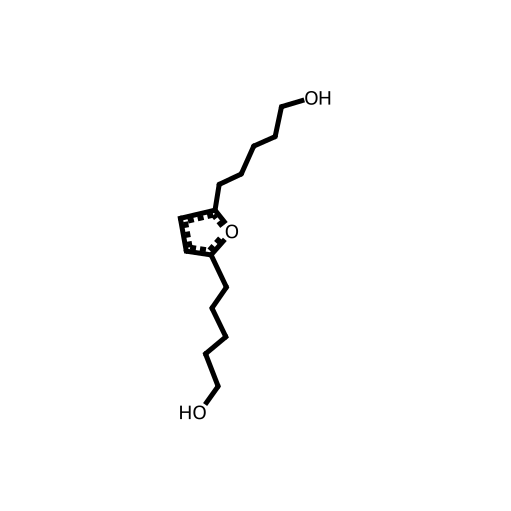 OCCCCCc1ccc(CCCCCO)o1